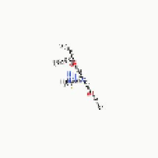 CCCCCCCCOC(=O)CCCCCCCN(CCCCCCCC(=O)OC(CCCCCCCC)CCCCCCCC)CCCNC(=S)NC